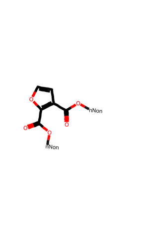 CCCCCCCCCOC(=O)c1ccoc1C(=O)OCCCCCCCCC